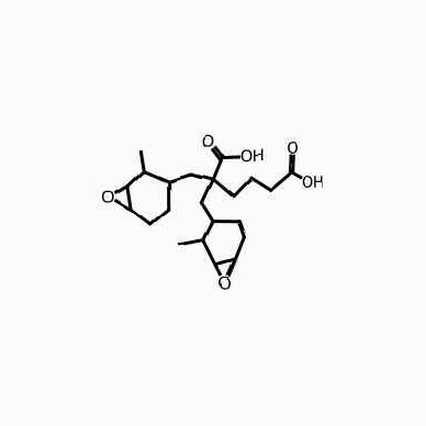 CC1C(CC(CCCC(=O)O)(CC2CCC3OC3C2C)C(=O)O)CCC2OC21